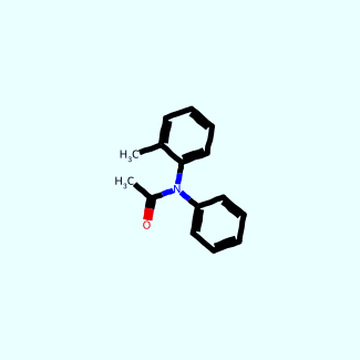 CC(=O)N(c1ccccc1)c1ccccc1C